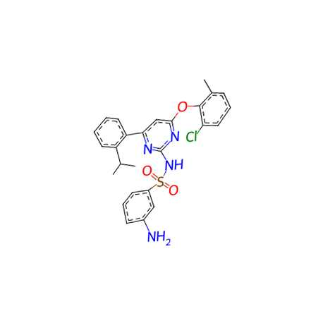 Cc1cccc(Cl)c1Oc1cc(-c2ccccc2C(C)C)nc(NS(=O)(=O)c2cccc(N)c2)n1